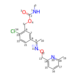 CNC(=O)OCc1cc(/C(C)=N/OCc2cccc(C)n2)ccc1Cl